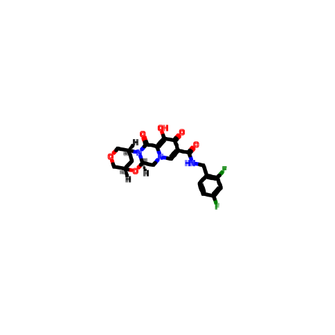 O=C(NCc1ccc(F)cc1F)c1cn2c(c(O)c1=O)C(=O)N1[C@H]3COC[C@H](C3)O[C@@H]1C2